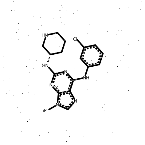 CC(C)n1cnc2c(Nc3cccc(Cl)c3)nc(N[C@H]3CCCNC3)nc21